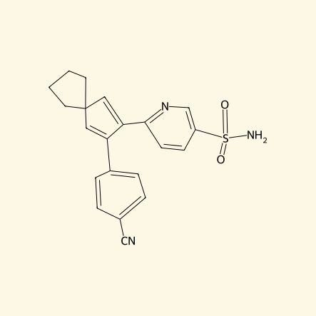 N#Cc1ccc(C2=CC3(C=C2c2ccc(S(N)(=O)=O)cn2)CCCC3)cc1